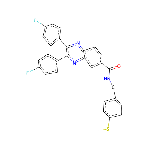 CSc1ccc(CNC(=O)c2ccc3nc(-c4ccc(F)cc4)c(-c4ccc(F)cc4)nc3c2)cc1